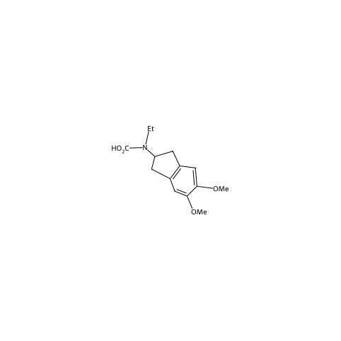 CCN(C(=O)O)C1Cc2cc(OC)c(OC)cc2C1